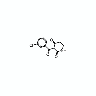 O=C1CCNC(=O)C1C(=O)c1cccc(Cl)c1